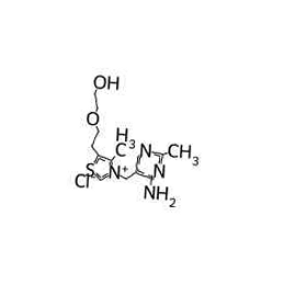 Cc1ncc(C[n+]2csc(CCOCCO)c2C)c(N)n1.[Cl-]